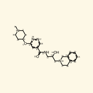 CN1CCC(Oc2cc(C(=O)NCC(O)CN3CCc4ccccc4C3)cnn2)CC1